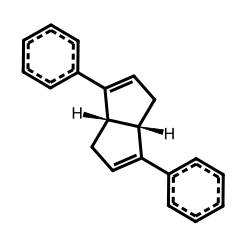 C1=C(c2ccccc2)[C@H]2CC=C(c3ccccc3)[C@H]2C1